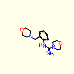 N=C(Nc1ccccc1CN1CCOCC1)N1CCOCC1